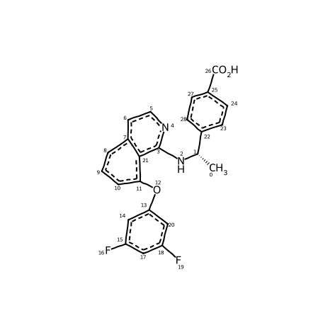 C[C@H](Nc1nccc2cccc(Oc3cc(F)cc(F)c3)c12)c1ccc(C(=O)O)cc1